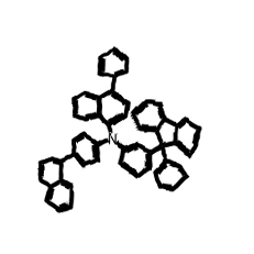 c1ccc(-c2ccc(N(c3ccc(-c4cccc5ccccc45)cc3)c3cccc(C4(c5ccccc5)c5ccccc5-c5ccccc54)c3)c3ccccc23)cc1